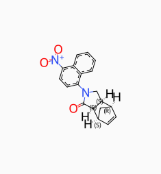 O=C1[C@H]2[C@@H](CN1c1ccc([N+](=O)[O-])c3ccccc13)[C@H]1C=C[C@@H]2C1